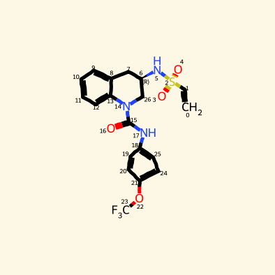 C=CS(=O)(=O)N[C@@H]1Cc2ccccc2N(C(=O)Nc2ccc(OC(F)(F)F)cc2)C1